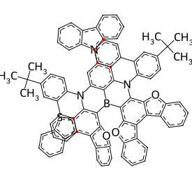 CC(C)(C)c1ccc(N2c3cc(-n4c5ccccc5c5ccccc54)cc4c3B(c3c2c2oc5ccccc5c2c2c3oc3ccccc32)c2c(c3sc5ccccc5c3c3c2oc2ccccc23)N4c2ccc(C(C)(C)C)cc2-c2ccccc2)c(-c2ccccc2)c1